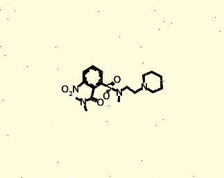 CN(C)C(=O)c1c([N+](=O)[O-])cccc1S(=O)(=O)N(C)CCN1CCCCC1